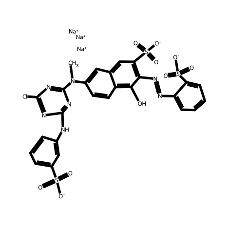 CN(c1ccc2c(O)c(N=Nc3ccccc3S(=O)(=O)[O-])c(S(=O)(=O)[O-])cc2c1)c1nc(Cl)nc(Nc2cccc(S(=O)(=O)[O-])c2)n1.[Na+].[Na+].[Na+]